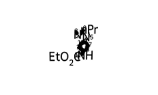 CCCC(=NC)N(C)c1ccc(NC(=O)OCC)cc1